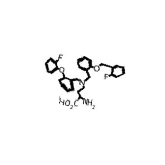 NC(CCN(Cc1ccccc1OCc1ccccc1F)Cc1ccccc1Oc1ccccc1F)C(=O)O